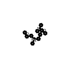 c1ccc(-c2nc(-c3cccc(-c4ccc(-c5c6c(cc7c(-c8ccccc8)nc8ccccc8c57)oc5ccccc56)cc4)c3)cc(-c3cccc(-c4cccc5c4oc4ccccc45)c3)n2)cc1